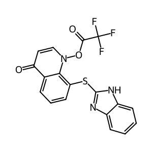 O=C(On1ccc(=O)c2cccc(Sc3nc4ccccc4[nH]3)c21)C(F)(F)F